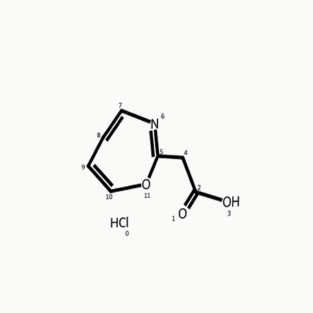 Cl.O=C(O)CC1=NC=CC=CO1